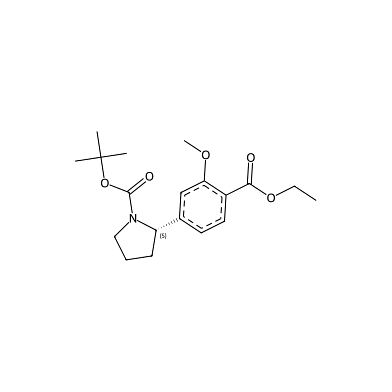 CCOC(=O)c1ccc([C@@H]2CCCN2C(=O)OC(C)(C)C)cc1OC